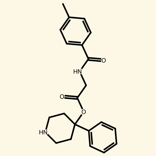 Cc1ccc(C(=O)NCC(=O)OC2(c3ccccc3)CCNCC2)cc1